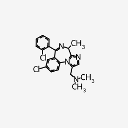 CC1N=C(c2ccccc2Cl)c2cc(Cl)ccc2-n2c(CN(C)C)cnc21